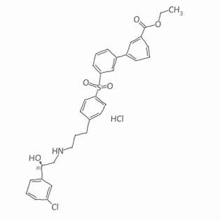 CCOC(=O)c1cccc(-c2cccc(S(=O)(=O)c3ccc(CCCNC[C@H](O)c4cccc(Cl)c4)cc3)c2)c1.Cl